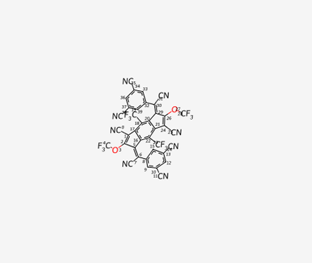 N#CC1=C(OC(F)(F)F)/C(=C(\C#N)c2cc(C#N)cc(C#N)c2)c2c1c(C(F)(F)F)c1c(c2C(F)(F)F)C(C#N)=C(OC(F)(F)F)/C1=C(\C#N)c1cc(C#N)cc(C#N)c1